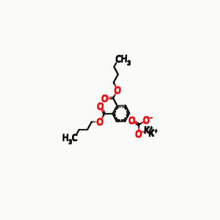 CCCCOC(=O)c1ccccc1C(=O)OCCCC.O=C([O-])[O-].[K+].[K+]